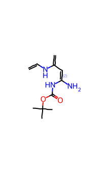 C=CNC(=C)/C=C(/N)NC(=O)OC(C)(C)C